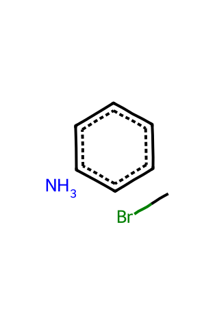 CBr.N.c1ccccc1